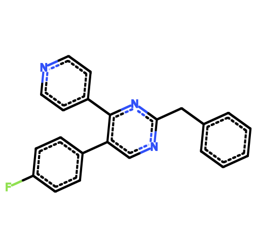 Fc1ccc(-c2cnc(Cc3ccccc3)nc2-c2ccncc2)cc1